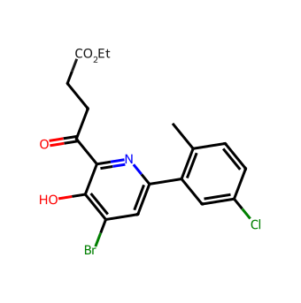 CCOC(=O)CCC(=O)c1nc(-c2cc(Cl)ccc2C)cc(Br)c1O